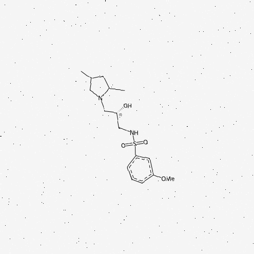 COc1cccc(S(=O)(=O)NC[C@@H](O)CN2CC(C)CC2C)c1